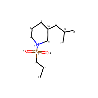 CCCS(=O)(=O)N1CCCC(CC(C)C)C1